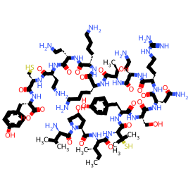 CC[C@H](C)[C@H](NC(=O)[C@@H]1C[C@@H](O)CN1C(=O)[C@@H](N)C(C)C)C(=O)N[C@H](C(=O)N[C@@H](Cc1ccc(O)cc1)C(=O)N[C@@H](CO)C(=O)N[C@@H](CC(N)=O)C(=O)N[C@@H](CCCNC(=N)N)C(=O)N[C@@H](CCN)C(=O)N[C@H](C(=O)N[C@H](CCCCN)C(=O)N[C@@H](CCCCN)C(=O)N[C@@H](CCN)C(=O)N[C@@H](CCN)C(=O)N[C@@H](CS)C(=O)N[C@@H](Cc1ccc(O)cc1)C(=O)O)[C@@H](C)O)C(C)(C)S